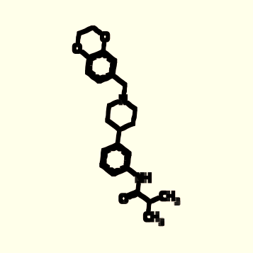 CC(C)C(=O)Nc1cccc(C2CCN(Cc3ccc4c(c3)OCCO4)CC2)c1